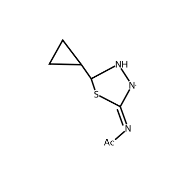 CC(=O)N=C1[N]NC(C2CC2)S1